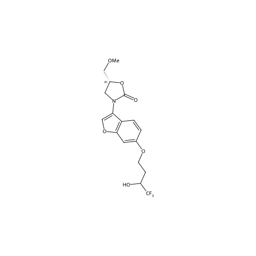 COC[C@H]1CN(c2coc3cc(OCCC(O)C(F)(F)F)ccc23)C(=O)O1